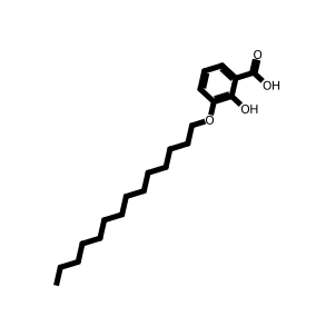 CCCCCCCCCCCCCCOc1cccc(C(=O)O)c1O